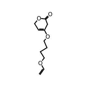 C=COCCCCOC1=CCOC(=O)C1